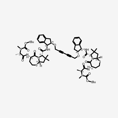 C[C@@H](C(=O)N[C@H]1CCS[C@H]2CC(C)(C)[C@@H](C(=O)N[C@H]3c4ccccc4C[C@H]3OCC#CC#CCO[C@@H]3Cc4ccccc4[C@@H]3NC(=O)[C@H]3N4C(=O)[C@@H](NC(=O)[C@H](C)N(C)C(=O)OC(C)(C)C)CCS[C@H]4CC3(C)C)N2C1=O)N(C)C(=O)OC(C)(C)C